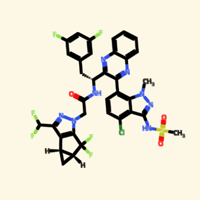 Cn1nc(NS(C)(=O)=O)c2c(Cl)ccc(-c3nc4ccccc4nc3[C@@H](Cc3cc(F)cc(F)c3)NC(=O)Cn3nc(C(F)F)c4c3C(F)(F)[C@@H]3C[C@H]43)c21